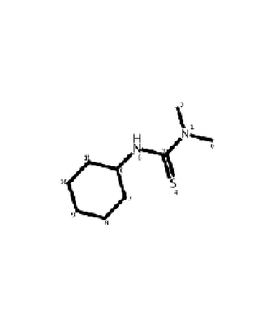 CN(C)C(=S)NC1CCCCC1